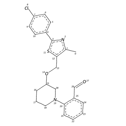 Cc1nc(-c2ccc(Cl)cc2)sc1COC1CCCN(c2ccccc2C=O)C1